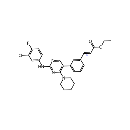 CCOC(=O)/C=C/c1cccc(-c2cnc(Nc3ccc(F)c(Cl)c3)nc2N2CCCCC2)c1